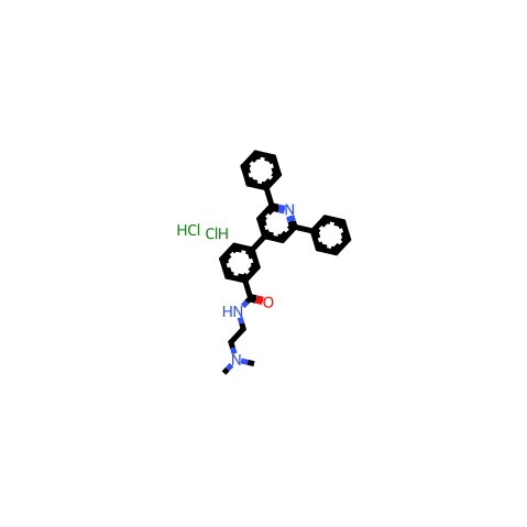 CN(C)CCNC(=O)c1cccc(-c2cc(-c3ccccc3)nc(-c3ccccc3)c2)c1.Cl.Cl